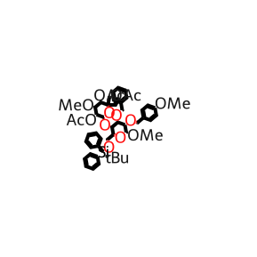 C=CC1(COC(C)=O)O[C@@H](O[C@@H]2C(CO[Si](c3ccccc3)(c3ccccc3)C(C)(C)C)O[C@H](OC)C(OCc3ccc(OC)cc3)[C@@H]2OCc2ccccc2)C(OC(C)=O)[C@@H](OC)[C@@H]1OC(C)=O